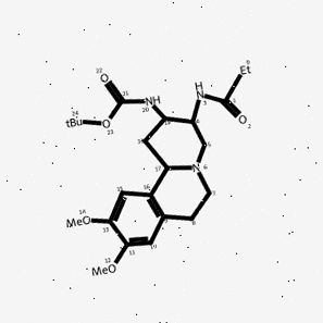 CCC(=O)NC1CN2CCc3cc(OC)c(OC)cc3C2CC1NC(=O)OC(C)(C)C